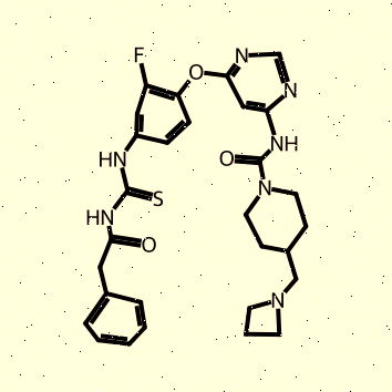 O=C(Cc1ccccc1)NC(=S)Nc1ccc(Oc2cc(NC(=O)N3CCC(CN4CCC4)CC3)ncn2)c(F)c1